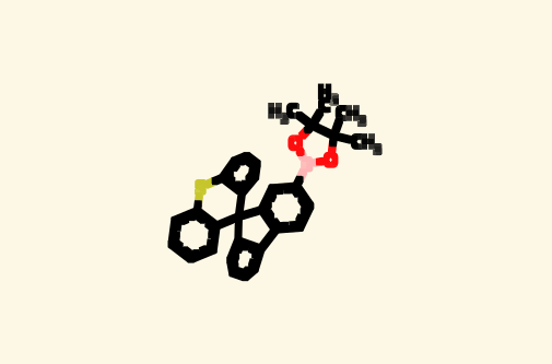 CC1(C)OB(c2ccc3c(c2)C2(c4ccccc4Sc4ccccc42)c2ccccc2-3)OC1(C)C